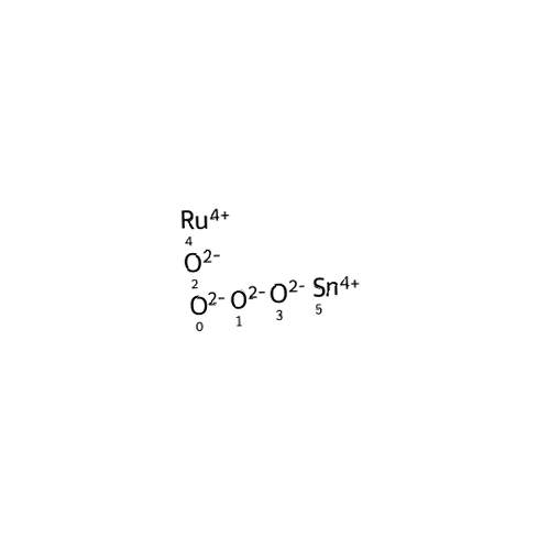 [O-2].[O-2].[O-2].[O-2].[Ru+4].[Sn+4]